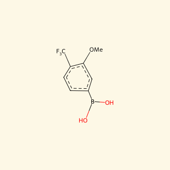 COc1cc(B(O)O)ccc1C(F)(F)F